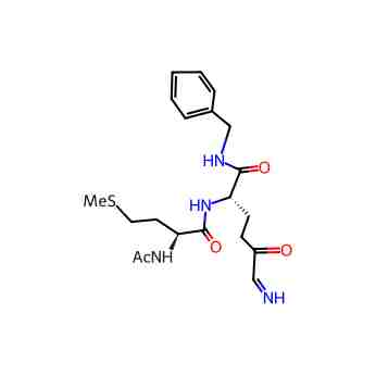 CSCC[C@H](NC(C)=O)C(=O)N[C@@H](CCC(=O)C=N)C(=O)NCc1ccccc1